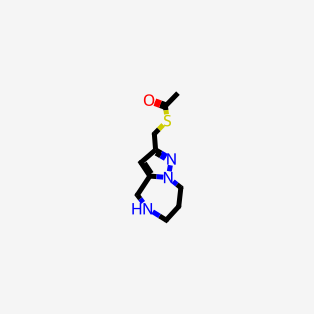 CC(=O)SCc1cc2n(n1)CCCNC2